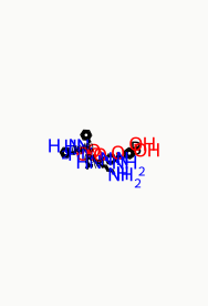 CC(C)C[C@@H](NC(=O)[C@@H](Cc1ccccc1)NC(=O)[C@H](N)Cc1ccccc1)C(=O)N[C@H](CCCCN)C(=O)N1CCC(N)(C(=O)Nc2ccc(B(O)O)cc2)CC1